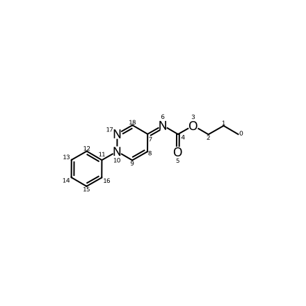 CCCOC(=O)/N=c1\ccn(-c2ccccc2)nc1